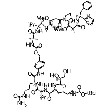 CC[C@H](C)[C@@H]([C@@H](CC(=O)N1CCC[C@H]1[C@H](OC)[C@@H](C)C(=O)N[C@@H](Cc1ccccc1)c1nccs1)OC)N(C)C(=O)[C@@H](NC(=O)C(C)(C)NC(=O)OCc1ccc(NC(=O)[C@H](CCCNC(N)=O)NC(=O)[C@@H](NC(=O)[C@H](CCCCNC(=O)OC(C)(C)C)NC(=O)[C@@H](O)CO)C(C)C)cc1)C(C)C